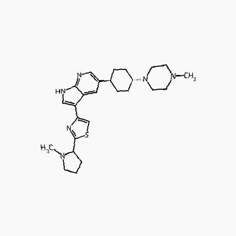 CN1CCN([C@H]2CC[C@H](c3cnc4[nH]cc(-c5csc(C6CCCN6C)n5)c4c3)CC2)CC1